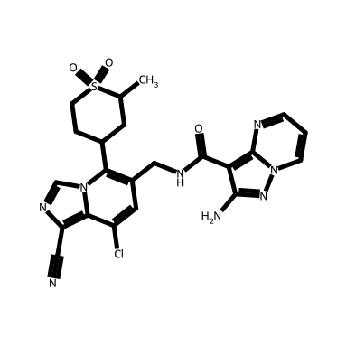 CC1CC(c2c(CNC(=O)c3c(N)nn4cccnc34)cc(Cl)c3c(C#N)ncn23)CCS1(=O)=O